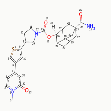 Cn1ccc(-c2csc(C3CCN(C(=O)O[C@H]4C5CC6CC4C[C@](C(N)=O)(C6)C5)C3)c2)cc1=O